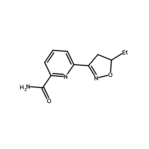 CCC1CC(c2cccc(C(N)=O)n2)=NO1